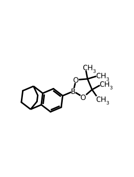 CC1(C)OB(c2ccc3c(c2)C2CCC3CC2)OC1(C)C